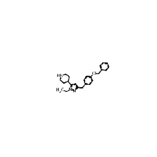 CCn1nc(Cc2ccc(OCc3ccccc3)cc2)cc1C1CCNCC1